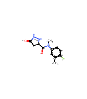 Cc1cc(N(C)C(=O)C2CC(=O)NN2)ccc1F